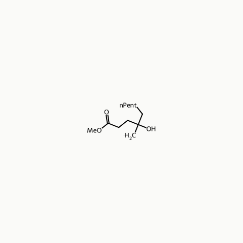 [CH2]C(O)(CCCCCC)CCC(=O)OC